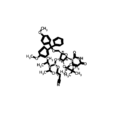 COc1ccc(C(OC[C@H]2O[C@@H](n3ccc(=O)[nH]c3=O)[C@H](O[Si](C)(C)C(C)(C)C)[C@@H]2OP(OCCC#N)N(C(C)C)C(C)C)(c2ccccc2)c2ccc(OC)cc2)cc1